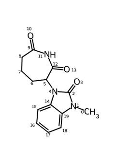 Cn1c(=O)n(C2CCCC(=O)NC2=O)c2ccccc21